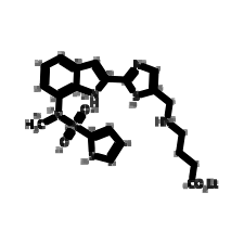 CCOC(=O)CCCNCc1cnc(-c2cc3cccc(N(C)S(=O)(=O)c4cccs4)c3[nH]2)s1